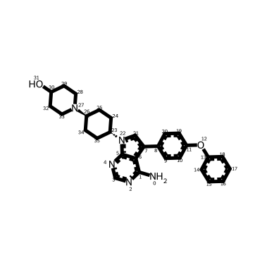 Nc1ncnc2c1c(-c1ccc(Oc3ccccc3)cc1)cn2[C@H]1CC[C@H](N2CCC(O)CC2)CC1